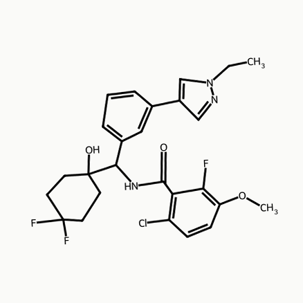 CCn1cc(-c2cccc(C(NC(=O)c3c(Cl)ccc(OC)c3F)C3(O)CCC(F)(F)CC3)c2)cn1